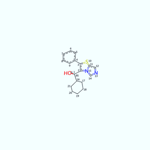 O[C@@H](c1c(-c2ccccc2)sc2cncn12)C1CCCCC1